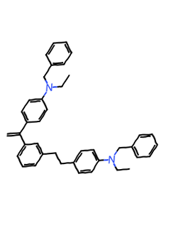 C=C(c1ccc(N(CC)Cc2ccccc2)cc1)c1cccc(CCc2ccc(N(CC)Cc3ccccc3)cc2)c1